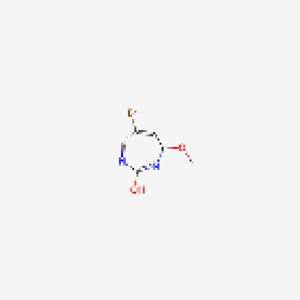 COC1C=C(Br)C=NC(O)=N1